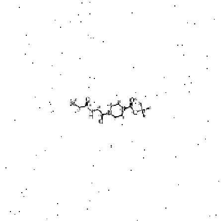 CC(C)(C)OC(=O)N1CCN(C(=O)CNC(=O)CBr)CC1